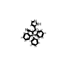 N#CC(C(=O)c1ccn[nH]1)=P(c1ccccc1)(c1ccccc1)c1ccccc1